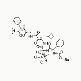 CN(C)C(=O)[C@@H](NC(=O)CNC(=O)C(=O)[C@H](CC1CCC1)NC(=O)[C@@H]1[C@@H]2[C@H](CN1C(=O)[C@@H](NC(=O)OC(C)(C)C)C1CCCCC1)C2(Cl)Cl)c1ccccc1